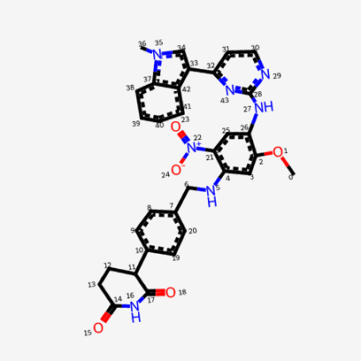 COc1cc(NCc2ccc(C3CCC(=O)NC3=O)cc2)c([N+](=O)[O-])cc1Nc1nccc(-c2cn(C)c3ccccc23)n1